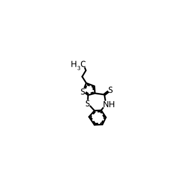 CCCc1cc2c(s1)Sc1ccccc1NC2=S